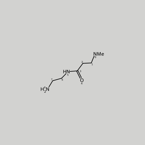 CNCCC(=O)NCCN